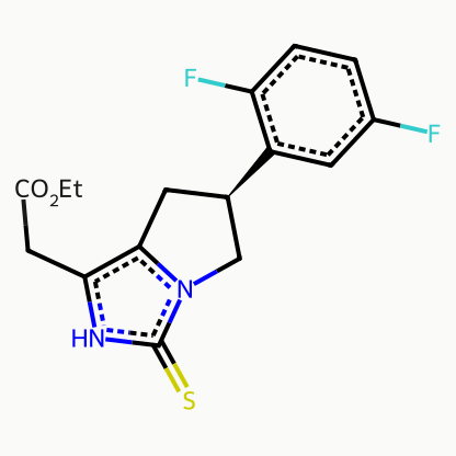 CCOC(=O)Cc1[nH]c(=S)n2c1C[C@@H](c1cc(F)ccc1F)C2